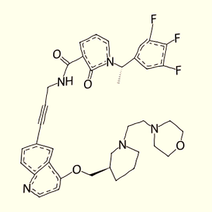 C[C@@H](c1cc(F)c(F)c(F)c1)n1cccc(C(=O)NCC#Cc2ccc3nccc(OC[C@@H]4CCCN(CCN5CCOCC5)C4)c3c2)c1=O